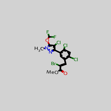 COC(=O)C(Br)=Cc1cc(-c2nn(C)c(OC(F)F)c2Cl)c(Cl)cc1Cl